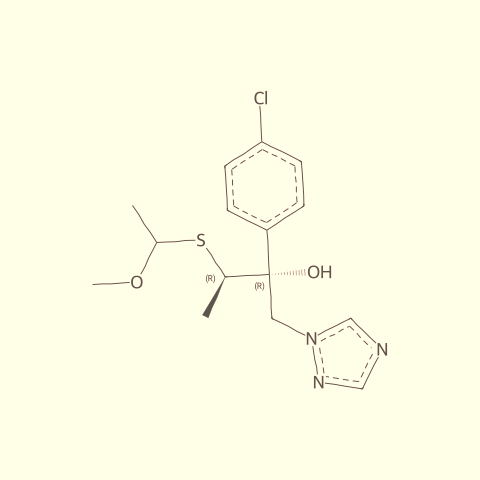 COC(C)S[C@H](C)[C@](O)(Cn1cncn1)c1ccc(Cl)cc1